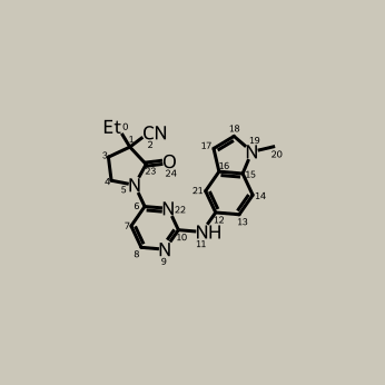 CCC1(C#N)CCN(c2ccnc(Nc3ccc4c(ccn4C)c3)n2)C1=O